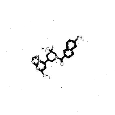 Cc1cc(C2CN(C(=O)c3ccc4cc(P)ccc4c3)CC(C)(F)C2)n2ncnc2n1